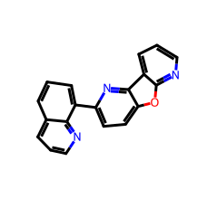 c1cnc2c(-c3ccc4oc5ncccc5c4n3)cccc2c1